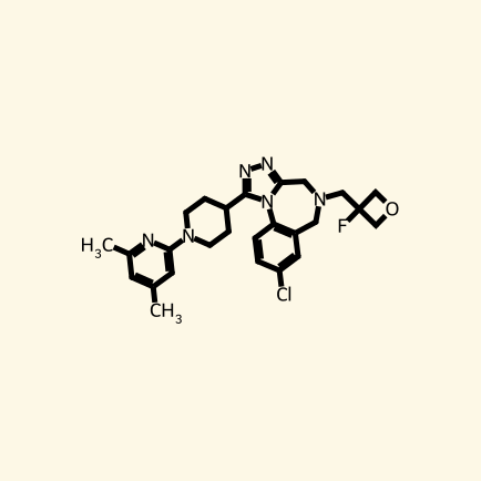 Cc1cc(C)nc(N2CCC(c3nnc4n3-c3ccc(Cl)cc3CN(CC3(F)COC3)C4)CC2)c1